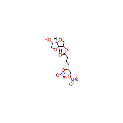 O=C(CCC[C@H](CO[N+](=O)[O-])O[N+](=O)[O-])O[C@@H]1CO[C@H]2[C@@H]1OC[C@H]2O